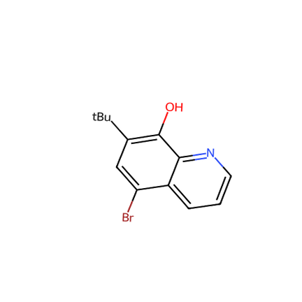 CC(C)(C)c1cc(Br)c2cccnc2c1O